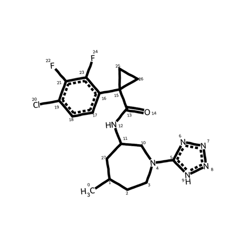 CC1CCN(c2nnn[nH]2)CC(NC(=O)C2(c3ccc(Cl)c(F)c3F)CC2)C1